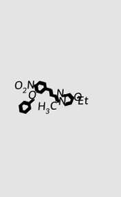 CCOc1ccn2c(C)c(/C=C/c3ccc([N+](=O)[O-])c(OCc4ccccc4)c3)nc2c1